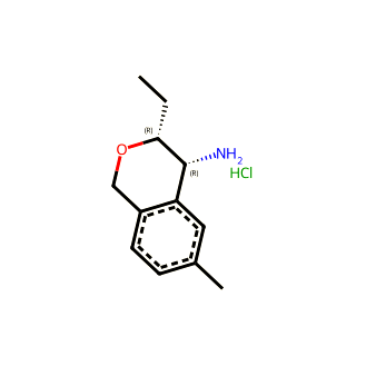 CC[C@H]1OCc2ccc(C)cc2[C@H]1N.Cl